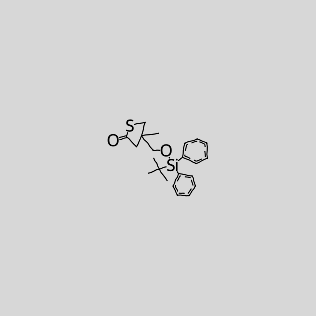 CC1(CO[Si](c2ccccc2)(c2ccccc2)C(C)(C)C)CSC(=O)C1